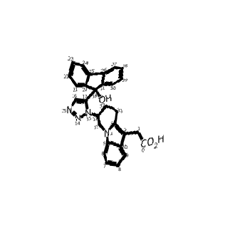 O=C(O)Cc1c2n(c3ccccc13)CC(n1nncc1C1(O)c3ccccc3-c3ccccc31)CC2